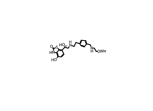 COCCNCc1ccc(CCNC[C@H](O)c2ccc(O)c3[nH]c(=O)sc23)cc1